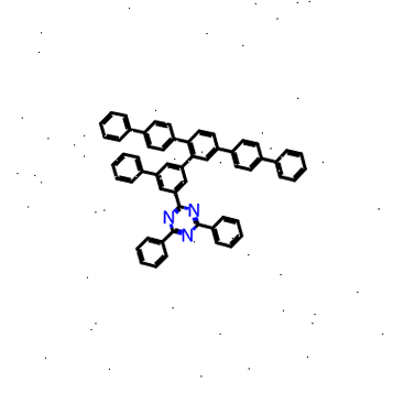 c1ccc(-c2ccc(-c3ccc(-c4ccc(-c5ccccc5)cc4)c(-c4cc(-c5ccccc5)cc(-c5nc(-c6ccccc6)nc(-c6ccccc6)n5)c4)c3)cc2)cc1